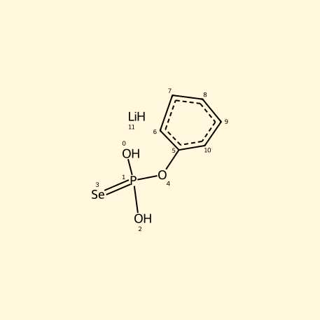 OP(O)(=[Se])Oc1ccccc1.[LiH]